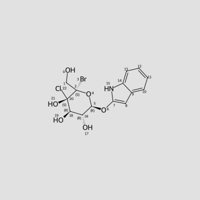 OC[C@@]1(Br)O[C@@H](Oc2cc3ccccc3[nH]2)[C@H](O)[C@@H](O)[C@]1(O)Cl